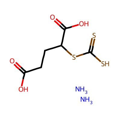 N.N.O=C(O)CCC(SC(=S)S)C(=O)O